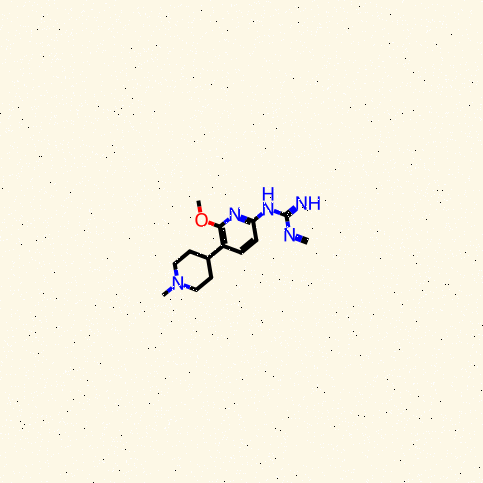 C=NC(=N)Nc1ccc(C2CCN(C)CC2)c(OC)n1